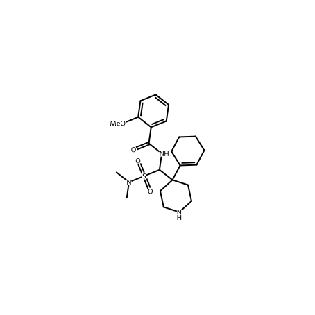 COc1ccccc1C(=O)NC(C1(C2=CCCCC2)CCNCC1)S(=O)(=O)N(C)C